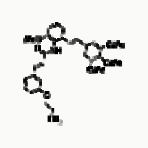 C=CCOc1cccc(/C=C/C(=O)Nc2c(C=Cc3cc(OC)c(OC)c(OC)c3)cccc2OC)c1